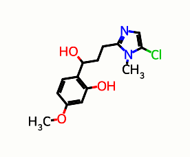 COc1ccc(C(O)CCc2ncc(Cl)n2C)c(O)c1